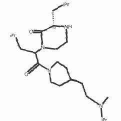 CC(C)CC(C(=O)N1CCC(CCN(C)C(C)C)CC1)N1CCN[C@@H](CC(C)C)C1=O